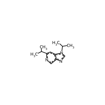 CC(C)c1cc2c(cn1)ncn2C(C)C